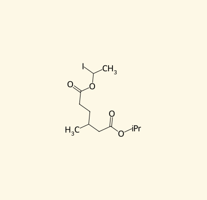 CC(CCC(=O)OC(C)I)CC(=O)OC(C)C